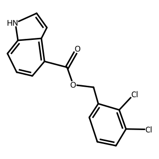 O=C(OCc1cccc(Cl)c1Cl)c1cccc2[nH]ccc12